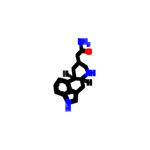 NC(=O)CC1CN[C@@H]2Cc3c[nH]c4cccc(c34)[C@H]2C1